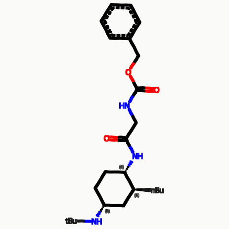 CCCC[C@H]1C[C@H](NC(C)(C)C)CC[C@@H]1NC(=O)CNC(=O)OCc1ccccc1